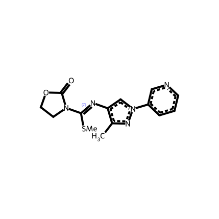 CS/C(=N\c1cn(-c2cccnc2)nc1C)N1CCOC1=O